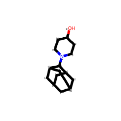 OC1CCN(C2C3CC4CC(C3)CC2C4)CC1